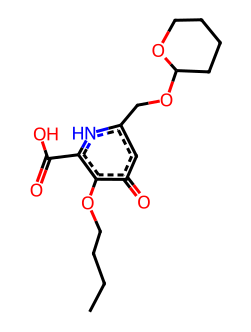 CCCCOc1c(C(=O)O)[nH]c(COC2CCCCO2)cc1=O